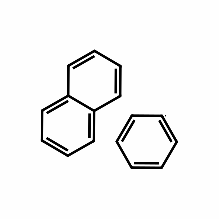 [c]1ccccc1.c1ccc2ccccc2c1